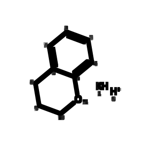 [H+].[KH].c1ccc2c(c1)CCCO2